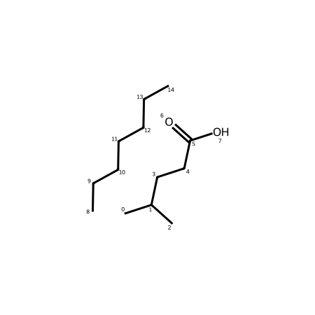 CC(C)CCC(=O)O.CCCCCCC